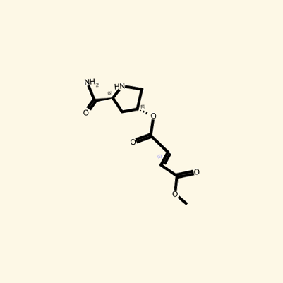 COC(=O)/C=C/C(=O)O[C@H]1CN[C@H](C(N)=O)C1